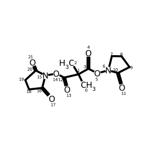 CC(C)(C(=O)ON1CCCC1=O)C(=O)ON1C(=O)CCC1=O